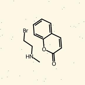 CNCCBr.O=c1ccc2ccccc2o1